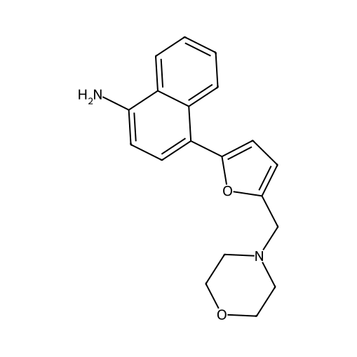 Nc1ccc(-c2ccc(CN3CCOCC3)o2)c2ccccc12